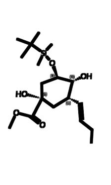 CCC=C[C@@H]1C[C@@](O)(C(=O)OC)C[C@@H](O[Si](C)(C)C(C)(C)C)[C@@H]1O